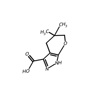 CC1(C)COc2[nH]nc(C(=O)O)c2C1